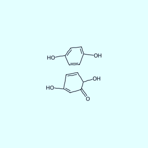 O=C1C=C(O)C=CC1O.Oc1ccc(O)cc1